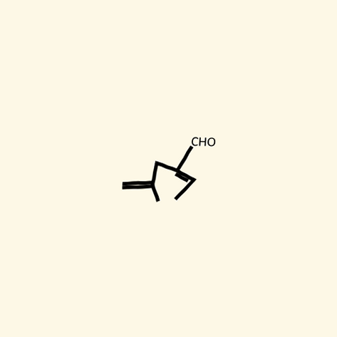 C=C(C)CC(C=O)=CC